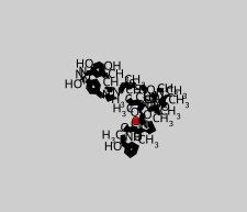 CC[C@H](C)[C@@H]([C@@H](CC(=O)N1CCC[C@H]1[C@H](OC)[C@@H](C)C(=O)N[C@H](C)C(O)c1ccccc1)OC)N(C)C(=O)[C@@H](NC(=O)[C@H](C(C)C)N(C)C(=O)OCCSSC(C)(C)CCN1CCN(Cc2ccc(-n3c(O)nnc3-c3cc(C(C)C)c(O)cc3O)cc2)CC1)C(C)C